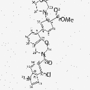 COC(=O)c1ccc(-c2cccc3c2OCN(C(=O)c2ccc4c(ccn4C)c2Cl)C3)cc1N1CCOCC1